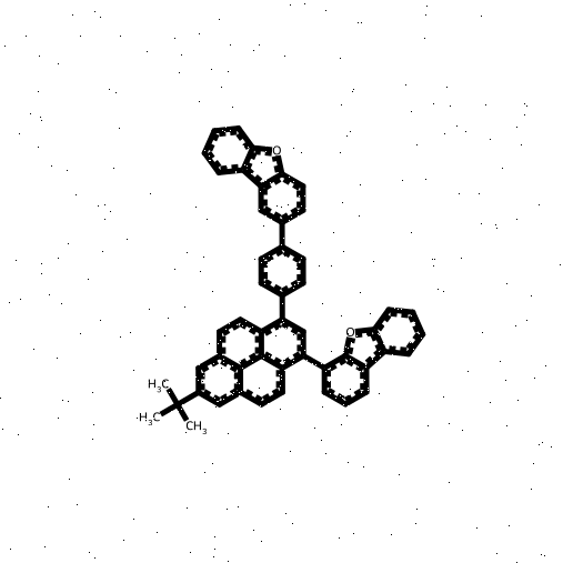 CC(C)(C)c1cc2ccc3c(-c4ccc(-c5ccc6oc7ccccc7c6c5)cc4)cc(-c4cccc5c4oc4ccccc45)c4ccc(c1)c2c34